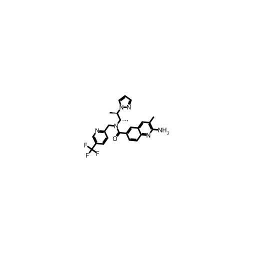 Cc1cc2cc(C(=O)N(Cc3ccc(C(F)(F)F)cn3)[C@@H](C)[C@@H](C)n3cccn3)ccc2nc1N